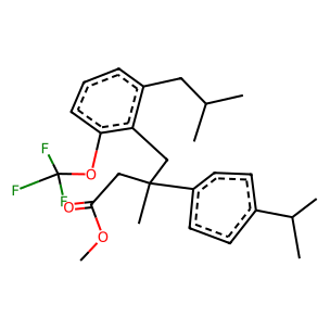 COC(=O)CC(C)(Cc1c(CC(C)C)cccc1OC(F)(F)F)c1ccc(C(C)C)cc1